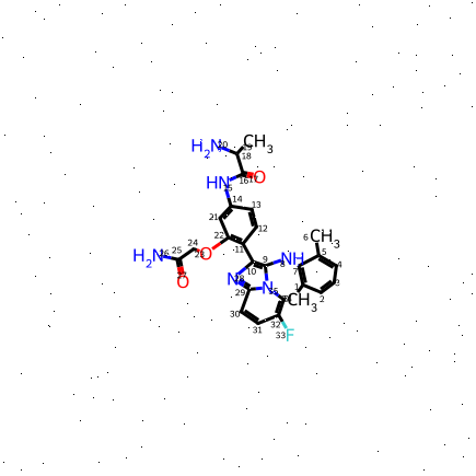 Cc1cccc(C)c1Nc1c(-c2ccc(NC(=O)C(C)N)cc2OCC(N)=O)nc2ccc(F)cn12